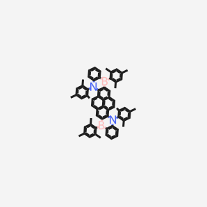 Cc1cc(C)c(B2c3ccccc3N(c3c(C)cc(C)cc3C)c3c2cc2ccc4c5c(cc6ccc3c2c64)B(c2c(C)cc(C)cc2C)c2ccccc2N5c2c(C)cc(C)cc2C)c(C)c1